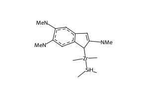 CNC1=Cc2cc(NC)c(NC)cc2[CH]1[Zr]([CH3])([CH3])[SiH](C)C